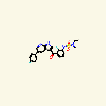 CCN(C)S(=O)(=O)Nc1cccc(C(=O)c2c[nH]c3ncc(-c4ccc(F)cc4)cc23)c1F